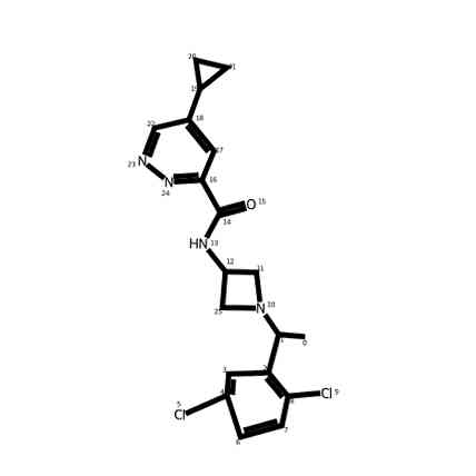 CC(c1cc(Cl)ccc1Cl)N1CC(NC(=O)c2cc(C3CC3)cnn2)C1